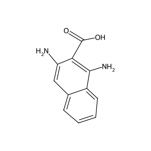 Nc1cc2ccccc2c(N)c1C(=O)O